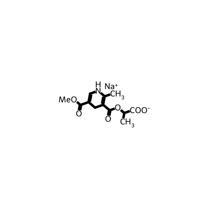 COC(=O)C1=CNC(C)=C(C(=O)OC(C)C(=O)[O-])C1.[Na+]